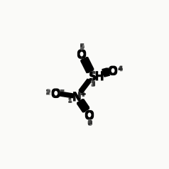 O=[N+]([O-])[SH](=O)=O